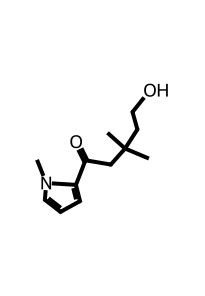 Cn1cccc1C(=O)CC(C)(C)CCO